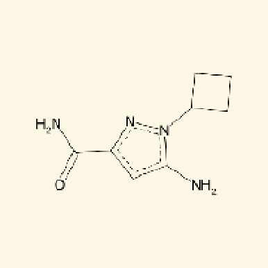 NC(=O)c1cc(N)n(C2CCC2)n1